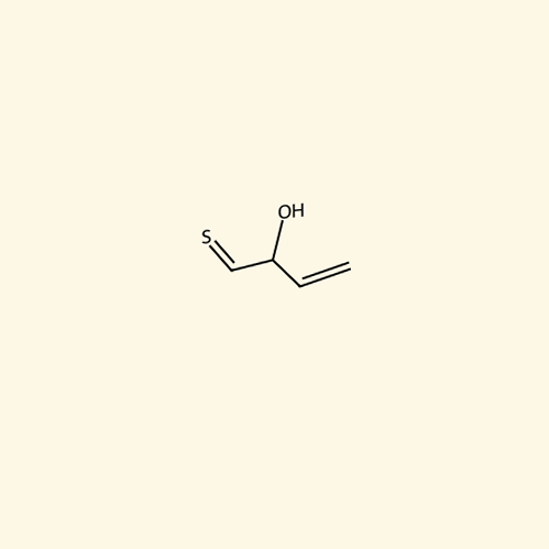 C=CC(O)C=S